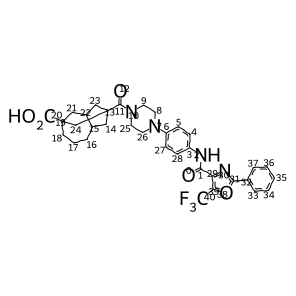 O=C(Nc1ccc(N2CCN(C(=O)C34CC5CCCC(C(=O)O)(CC5C3)C4)CC2)cc1)c1nc(-c2ccccc2)oc1C(F)(F)F